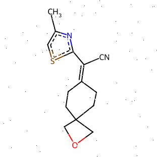 Cc1csc(C(C#N)=C2CCC3(CC2)COC3)n1